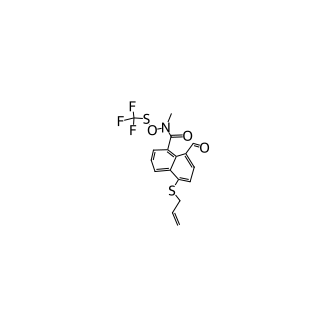 C=CCSc1ccc(C=O)c2c(C(=O)N(C)OSC(F)(F)F)cccc12